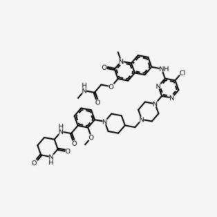 CNC(=O)COc1cc2cc(Nc3nc(N4CCN(CC5CCN(c6cccc(C(=O)NC7CCC(=O)NC7=O)c6OC)CC5)CC4)ncc3Cl)ccc2n(C)c1=O